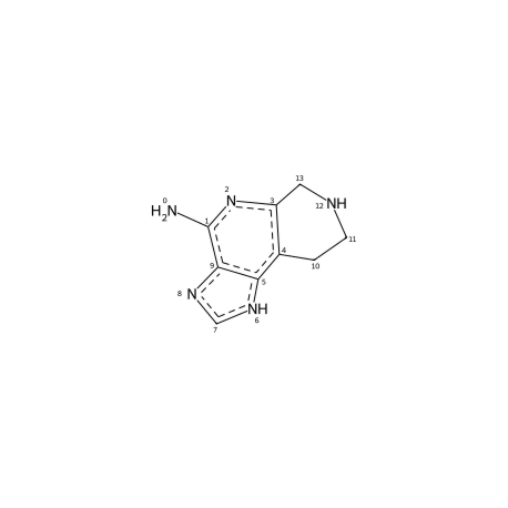 Nc1nc2c(c3[nH]cnc13)CCNC2